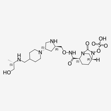 C[C@@H](CO)NCC1CCN([C@@H]2CN[C@@H](CONC(=O)[C@@H]3CC[C@@H]4CN3C(=O)N4OS(=O)(=O)O)C2)CC1